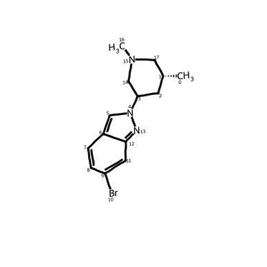 C[C@@H]1CC(n2cc3ccc(Br)cc3n2)CN(C)C1